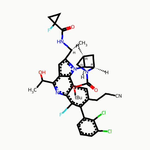 CC(O)c1nc2c(F)c(-c3cccc(Cl)c3Cl)c(CCC#N)cc2c2c1cc([C@@H](C)NC(=O)C1(F)CC1)n2[C@H]1[C@@H]2C[C@H]1N(C(=O)OC(C)(C)C)C2